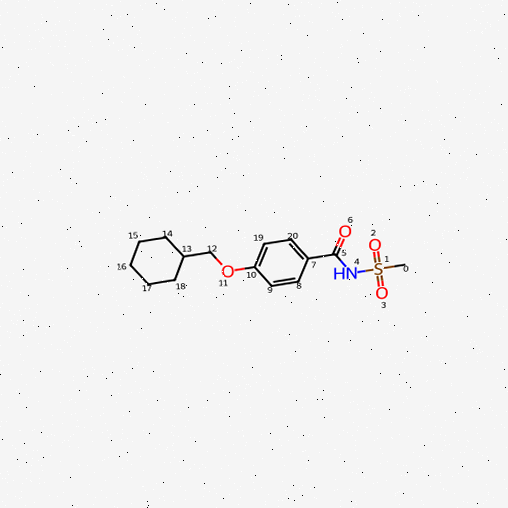 CS(=O)(=O)NC(=O)c1ccc(OCC2CCCCC2)cc1